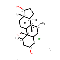 C[C@@H]1C[C@@]2(Br)C[C@@H](O)C[C@@H](C)[C@]2(CO)[C@H]2CC[C@]3(C)[C@@H](O)CC[C@H]3[C@H]12